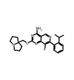 CC(C)c1ccccc1-c1ncc2c(N)nc(OCC34CCCN3CCC4)nc2c1F